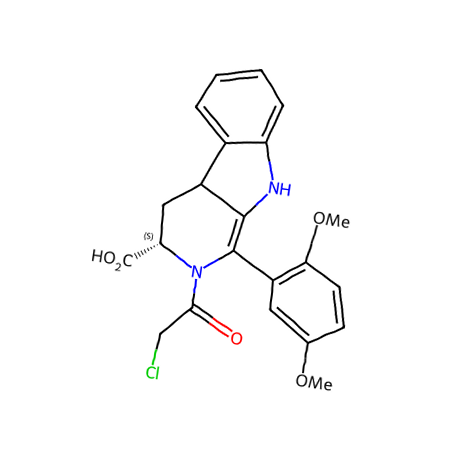 COc1ccc(OC)c(C2=C3Nc4ccccc4C3C[C@@H](C(=O)O)N2C(=O)CCl)c1